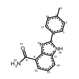 Cc1ccc(-c2nc3c(C(N)=O)cccc3[nH]2)cc1